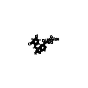 CCCCS(=O)(=O)NNC(=O)c1ccc2nc(C)n(Cc3ccc(Cl)cc3Cl)c2c1